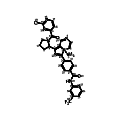 N[N+]12C=CN=CC1=C(C1CCCN1C(=O)c1ccnc(Cl)n1)N=C2c1ccc(C(=O)Nc2cc(C(F)(F)F)ccn2)cc1